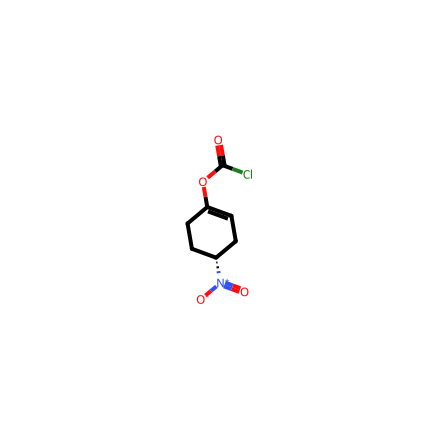 O=C(Cl)OC1=CC[C@H]([N+](=O)[O-])CC1